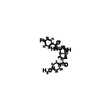 CN1CCN(C(=O)c2cc3c(NC(=O)c4ccc(F)cc4)n[nH]c3s2)CC1